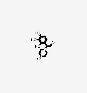 CCN1CCN(C(CC(C)=O)c2ccc(O)c(O)c2O)CC1